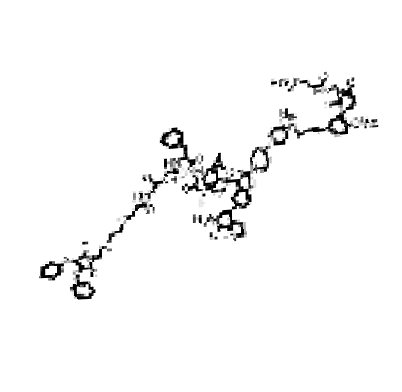 COc1ccc(C#CCNC2(C)CCN(C3CCN(c4nc([C@@](COCNC(=O)CNC(=O)[C@H](Cc5ccccc5)NC(=O)CNC(=O)CNC(=O)CCOCCOCCN5C(=O)C(Sc6ccccc6)=C(Sc6ccccc6)C5=O)(OC5CC5)c5ccccc5)c5cc(-c6cn(C)c(=O)c7[nH]ccc67)ccc5n4)CC3)CC2)cc1-n1ccc(=O)n(CNC(=O)CCC(=O)O)c1=O